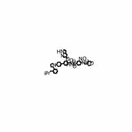 CC(C)Cc1ccccc1C1CCCN1C1CC=C(c2ccc(C(=O)NS(=O)(=O)c3ccc(NCC4CCOCC4)c([N+](=O)[O-])c3)c(Oc3cnc4[nH]ccc4c3)c2)CC1